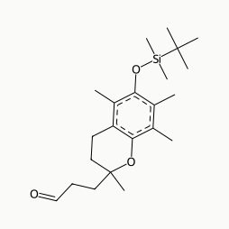 Cc1c(C)c2c(c(C)c1O[Si](C)(C)C(C)(C)C)CCC(C)(CCC=O)O2